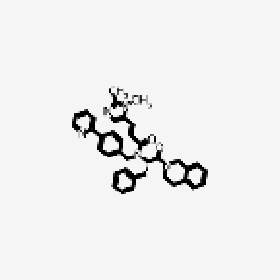 Cc1ncc(C=CC(=O)N(Cc2ccc(-c3ccccn3)cc2)[C@@H](Cc2ccccc2)C(=O)N2CCc3ccccc3C2)n1C